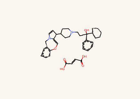 O=C(O)C=CC(=O)O.OC(CCN1CCC(C2C=CN3Cc4ccccc4OC=C23)CC1)(c1ccccc1)C1CCCCC1